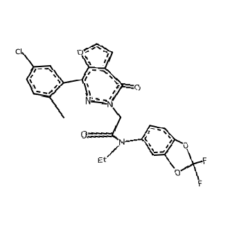 CCN(C(=O)Cn1nc(-c2cc(Cl)ccc2C)c2occc2c1=O)c1ccc2c(c1)OC(F)(F)O2